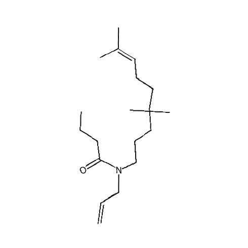 C=CCN(CCCC(C)(C)CCC=C(C)C)C(=O)CCC